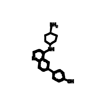 N[C@H]1CC[C@H](Nc2ccnc3ccc(-c4ccc(O)cc4)cc23)CC1